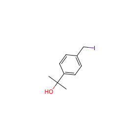 CC(C)(O)c1ccc(CI)cc1